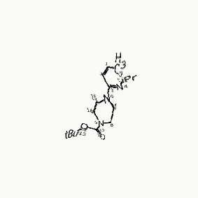 C/C=C\C(=N/C(C)C)N1CCN(C(=O)OC(C)(C)C)CC1